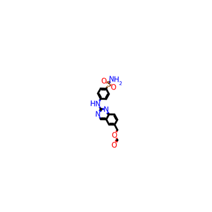 NS(=O)(=O)c1ccc(Nc2ncc3cc(COC=O)ccc3n2)cc1